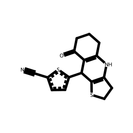 N#Cc1ccc(C2C3=C(CCS3)NC3=C2C(=O)CCC3)s1